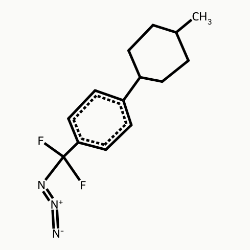 CC1CCC(c2ccc(C(F)(F)N=[N+]=[N-])cc2)CC1